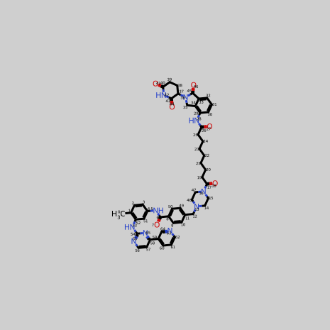 Cc1ccc(NC(=O)c2ccc(CN3CCN(C(=O)CCCCCCCC(=O)Nc4cccc5c4CN(C4CCC(=O)NC4=O)C5=O)CC3)cc2)cc1Nc1nccc(-c2cccnc2)n1